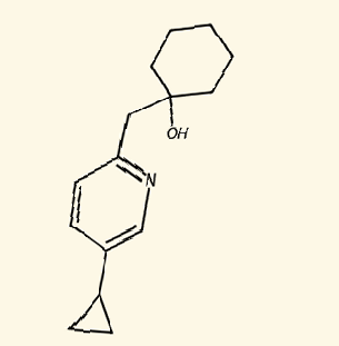 OC1(Cc2ccc(C3CC3)cn2)CCCCC1